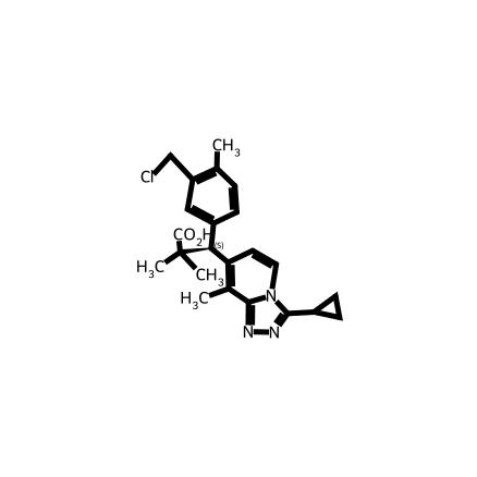 Cc1ccc([C@@H](c2ccn3c(C4CC4)nnc3c2C)C(C)(C)C(=O)O)cc1CCl